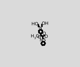 COc1c(-c2nc3ccccc3s2)c(=O)oc2cc(N(CCO)CCO)ccc12